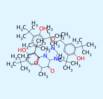 CC(C(=O)C1NCN(C(=O)C(C)c2cc(C(C)(C)C)c(O)c(C(C)(C)C)c2)CN1C(=O)C(C)c1cc(C(C)(C)C)c(O)c(C(C)(C)C)c1)c1cc(C(C)(C)C)c(O)c(C(C)(C)C)c1